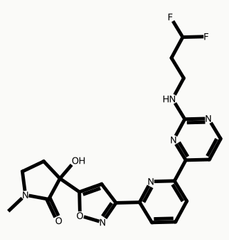 CN1CCC(O)(c2cc(-c3cccc(-c4ccnc(NCCC(F)F)n4)n3)no2)C1=O